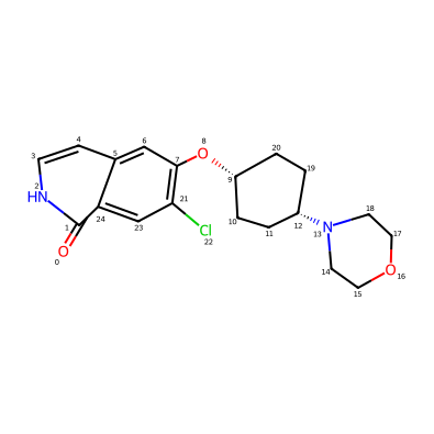 O=c1[nH]ccc2cc(O[C@H]3CC[C@@H](N4CCOCC4)CC3)c(Cl)cc12